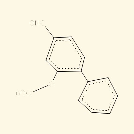 CCCCCCCCOc1cc([C]=O)ccc1-c1ccccc1